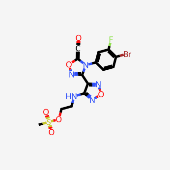 CS(=O)(=O)OCCNc1nonc1C1=NOC(=C=O)N1c1ccc(Br)c(F)c1